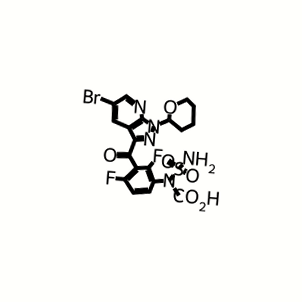 NS(=O)(=O)N(C(=O)O)c1ccc(F)c(C(=O)c2nn(C3CCCCO3)c3ncc(Br)cc23)c1F